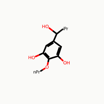 CCCOc1c(O)cc(C(O)C(C)C)cc1O